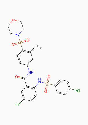 Cc1cc(NC(=O)c2cc(Cl)ccc2NS(=O)(=O)c2ccc(Cl)cc2)ccc1S(=O)(=O)N1CCOCC1